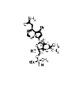 CC1(C)O[C@H]2[C@H](c3cc(Br)c4c(CC(N)=O)ncnn34)O[C@](C#N)(CO[Si](C)(C)C(C)(C)C)[C@H]2O1